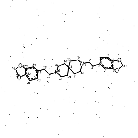 c1cc2c(cc1CCN1CCC3(CC1)CCN(CCc1ccc4c(c1)OCO4)CC3)OCO2